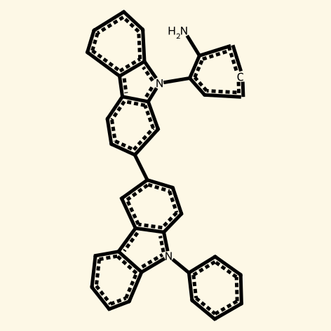 Nc1ccccc1-n1c2ccccc2c2ccc(-c3ccc4c(c3)c3ccccc3n4-c3ccccc3)cc21